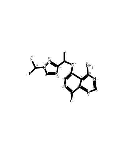 CC(Oc1cnc(Cl)c2ncnc(N)c12)c1ncn(C(F)F)n1